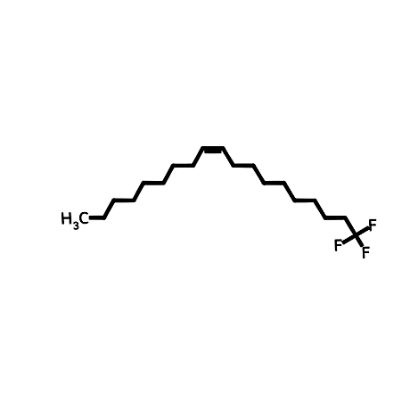 CCCCCCCC/C=C\CCCCCCCCC(F)(F)F